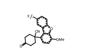 COc1ccc(C2(C#N)CCC(=O)CC2)c2c1oc1ccc(C(F)(F)F)cc12